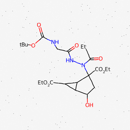 CCOC(=O)C1C2C(O)CC(C(=O)OCC)(N(NC(=O)CNC(=O)OC(C)(C)C)C(=O)CC)C12